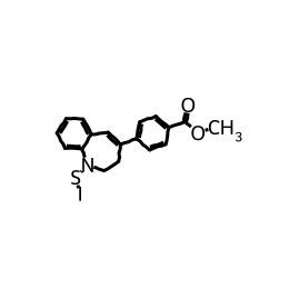 COC(=O)c1ccc(C2=Cc3ccccc3N(SI)CC2)cc1